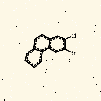 Clc1cc2ccc3ccccc3c2cc1Br